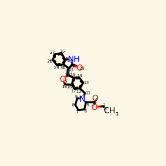 CCOC(=O)C1CCCCN1Cc1ccc2c(c1)CO/C2=C1/C(=O)Nc2ccccc21